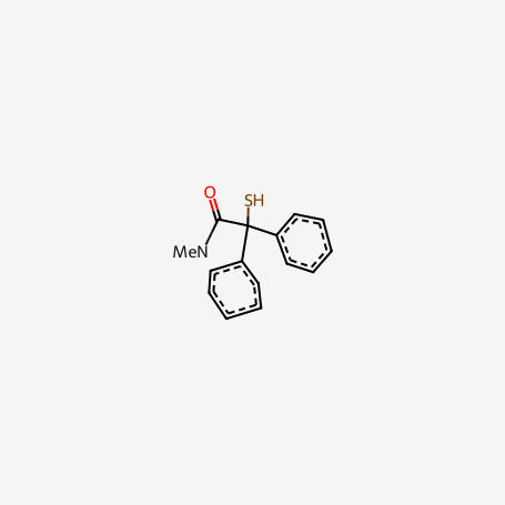 CNC(=O)C(S)(c1ccccc1)c1ccccc1